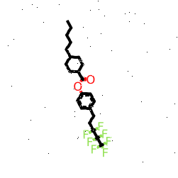 CCCCCC1CCC(C(=O)Oc2ccc(CCC(F)(F)C(F)(F)C(F)(F)F)cc2)CC1